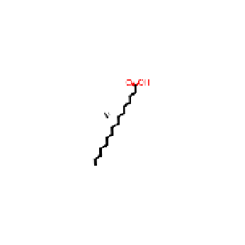 CCCCCCCCCCCCCCCC(=O)O.[V]